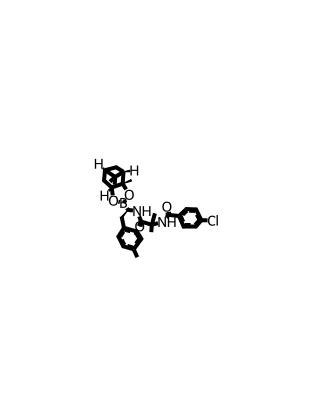 Cc1ccc(C[C@H](NC(=O)C(C)(C)NC(=O)c2ccc(Cl)cc2)B2O[C@@H]3C[C@@H]4C[C@@H](C4(C)C)[C@]3(C)O2)cc1